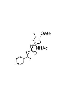 COC[C@H](C)C[S@@](=O)(=NC(=O)O[C@@H](C)c1ccccc1)NC(C)=O